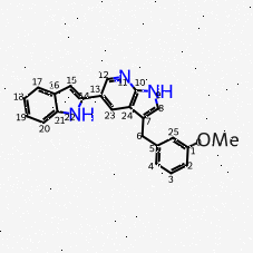 COc1cccc(Cc2c[nH]c3ncc(-c4cc5ccccc5[nH]4)cc23)c1